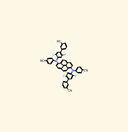 N#Cc1ccc(N(c2cc(F)c(-c3cccc(C#N)c3)cc2F)c2ccc3ccc4c(N(c5ccc(C#N)cc5)c5cc(F)c(-c6cccc(C#N)c6)cc5F)ccc5ccc2c3c54)cc1